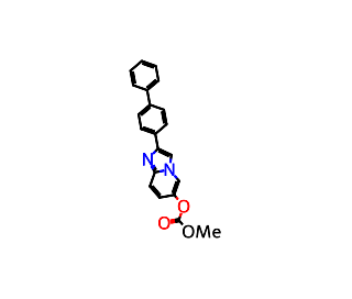 COC(=O)Oc1ccc2nc(-c3ccc(-c4ccccc4)cc3)cn2c1